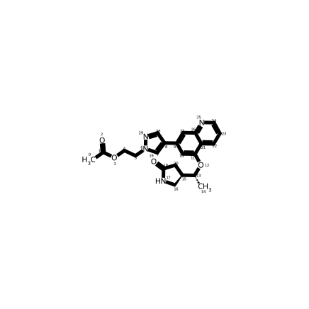 CC(=O)OCCn1cc(-c2cc(O[C@H](C)[C@H]3CNC(=O)C3)c3cccnc3c2)cn1